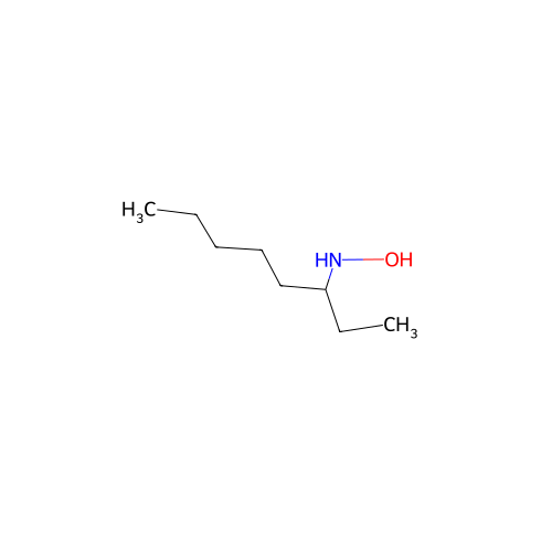 CCCCCC(CC)NO